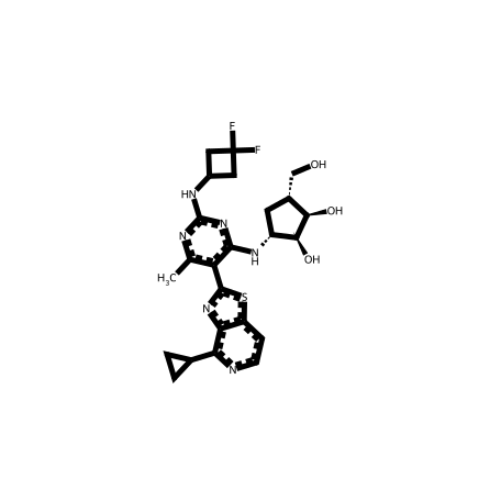 Cc1nc(NC2CC(F)(F)C2)nc(N[C@@H]2C[C@H](CO)[C@@H](O)[C@H]2O)c1-c1nc2c(C3CC3)nccc2s1